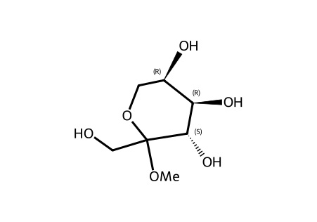 COC1(CO)OC[C@@H](O)[C@@H](O)[C@@H]1O